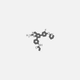 C=CC(=O)Nc1cccc(-c2cc(-c3ccc(Oc4ccccn4)c(F)c3)cc3cnc(N)nc23)c1